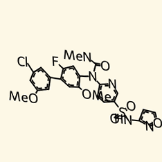 CNC(=O)N(c1ccc(S(=O)(=O)Nc2ccon2)cn1)c1cc(F)c(-c2cc(Cl)cc(OC)c2)cc1OC